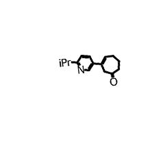 CC(C)c1ccc(C2=CCCCC(=O)C2)cn1